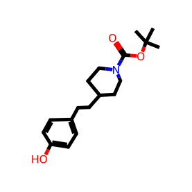 CC(C)(C)OC(=O)N1CCC(CCc2ccc(O)cc2)CC1